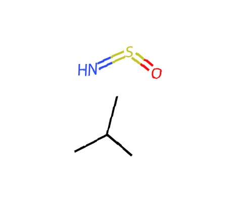 CC(C)C.N=S=O